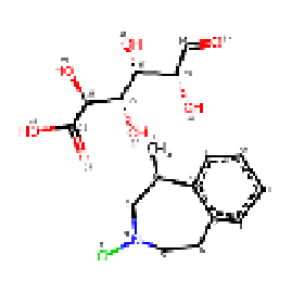 C[C@@H]1CN(Cl)CCc2ccccc21.O=C[C@H](O)[C@@H](O)[C@H](O)[C@H](O)C(=O)O